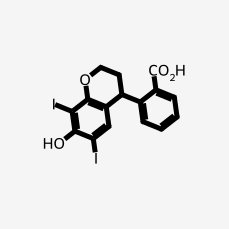 O=C(O)c1ccccc1C1CCOc2c1cc(I)c(O)c2I